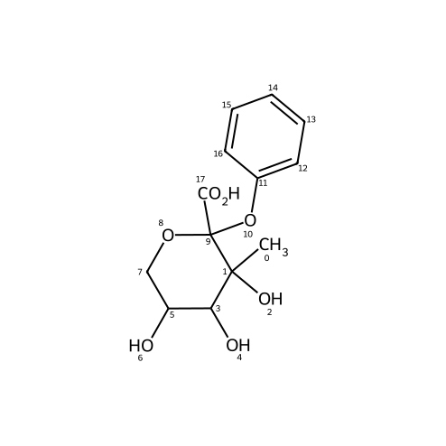 CC1(O)C(O)C(O)COC1(Oc1ccccc1)C(=O)O